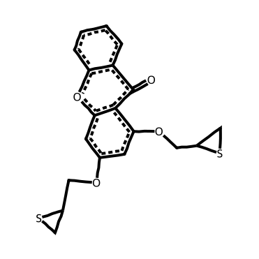 O=c1c2ccccc2oc2cc(OCC3CS3)cc(OCC3CS3)c12